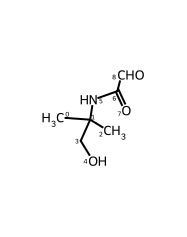 CC(C)(CO)NC(=O)C=O